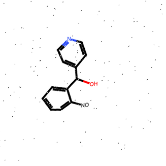 O=Nc1ccccc1C(O)c1ccncc1